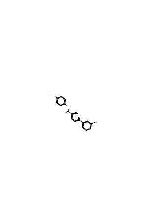 CC(C)c1ccc(NC(=O)c2ccc(-c3cccc(C(C)C)c3)nc2)cc1